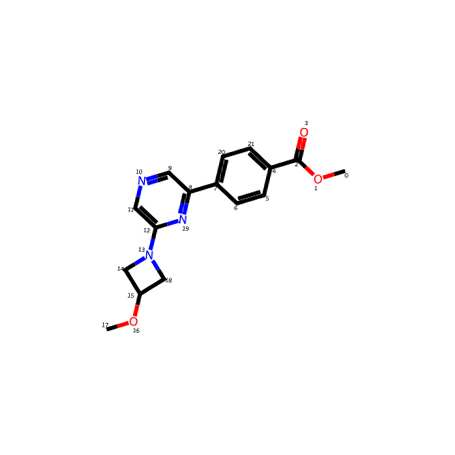 COC(=O)c1ccc(-c2cncc(N3CC(OC)C3)n2)cc1